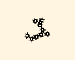 c1ccc(-c2cccc(-c3ccc(-c4ccc5c(c4)c4cc(-c6ccc7c(c6)c6ccccc6n7-c6ccccc6)ccc4n5-c4ccccc4)cc3)c2)cc1